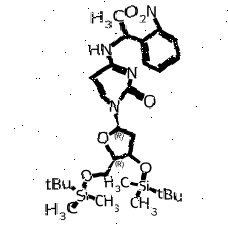 CC(Nc1ccn([C@H]2CC(O[Si](C)(C)C(C)(C)C)[C@@H](CO[Si](C)(C)C(C)(C)C)O2)c(=O)n1)c1ccccc1[N+](=O)[O-]